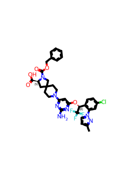 Cc1ccn(-c2cc(Cl)ccc2[C@@H](Oc2cc(N3CCC4(CC3)C[C@@H](C(=O)O)N(C(=O)OCc3ccccc3)C4)nc(N)n2)C(F)(F)F)n1